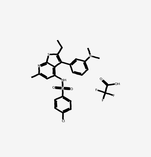 CCc1sc2nc(C)cc(NS(=O)(=O)c3ccc(Cl)cc3)c2c1-c1cccc(N(C)C)c1.O=C(O)C(F)(F)F